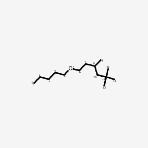 [CH2]CCCCOCCC(C)CC(C)(C)C